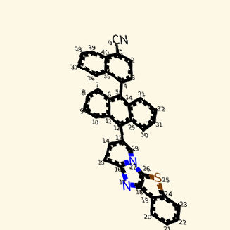 N#Cc1ccc(-c2c3ccccc3c(-c3ccc4nc5c6ccccc6sc5n4c3)c3ccccc23)c2ccccc12